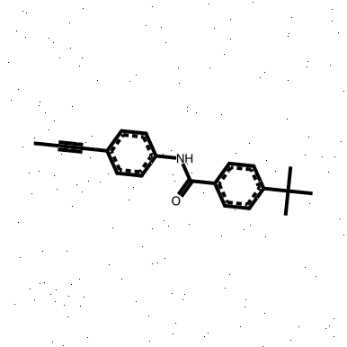 CC#Cc1ccc(NC(=O)c2ccc(C(C)(C)C)cc2)cc1